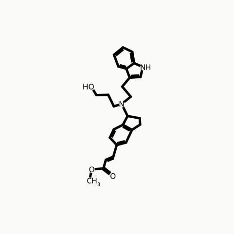 COC(=O)/C=C/c1ccc2c(c1)CCC2N(CCCO)CCc1c[nH]c2ccccc12